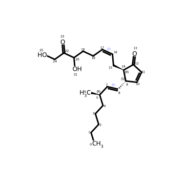 CCCCC[C@@H](C)/C=C/[C@H]1C=CC(=O)[C@@H]1C/C=C\CCC(O)C(=O)CO